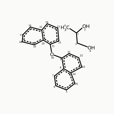 CC(O)CO.c1ccc2c(Oc3cccc4ccccc34)cccc2c1